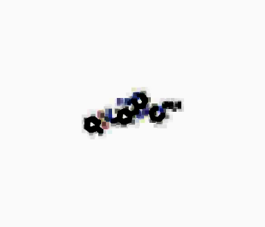 Cc1ccccc1S(=O)(=O)NCc1ccc(-c2nn([C@@H]3CCCN(C(=O)O)C3)c3ccnc(N)c23)cc1